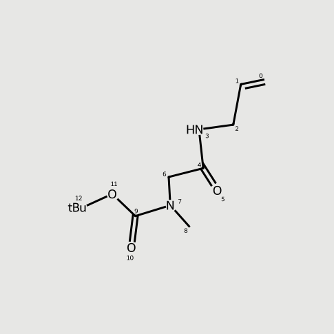 C=CCNC(=O)CN(C)C(=O)OC(C)(C)C